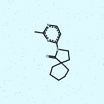 Cc1nccc(N2CCC3(CCCCC3)C2=O)n1